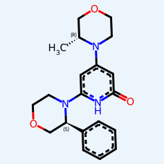 C[C@@H]1COCCN1c1cc(N2CCOC[C@@H]2c2ccccc2)[nH]c(=O)c1